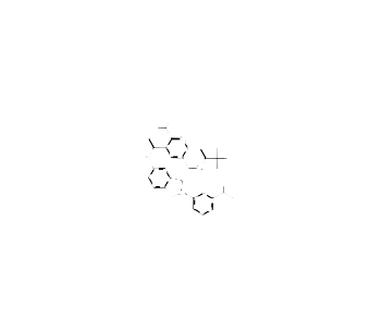 C=C(Nc1ccc2c(c1)CN(c1cccc(C(C)F)c1)C2)c1cc(CNC(=C)C(C)(C)F)cnc1C(F)F